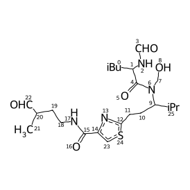 CCC(C)C(NC=O)C(=O)N(CO)C(CCc1nc(C(=O)NCCC(C)C=O)cs1)C(C)C